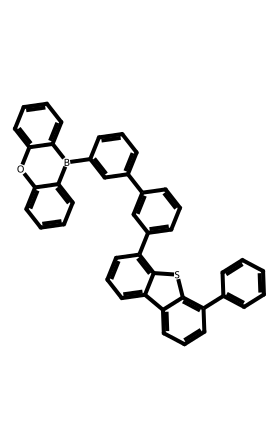 c1ccc(-c2cccc3c2sc2c(-c4cccc(-c5cccc(B6c7ccccc7Oc7ccccc76)c5)c4)cccc23)cc1